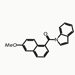 COc1ccc2c(C(=O)n3ccc4ccccc43)cccc2c1